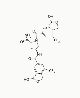 NC(=O)[C@@H]1C[C@H](NC(=O)c2cc3c(c(C(F)(F)F)c2)COB3O)CN1C(=O)c1cc2c(c(C(F)(F)F)c1)COB2O